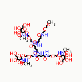 COCCOCCNC(=O)CCCC(=O)NC(CCC(=O)NC(CCC(=O)NCCOCCOC1OC(CO)C(O)C(O)C1NC(C)=O)C(=O)NCCOCCOC1OC(CO)C(O)C(O)C1NC(C)=O)C(=O)NCCOCCOC1OC(CO)C(O)C(O)C1NC(C)=O